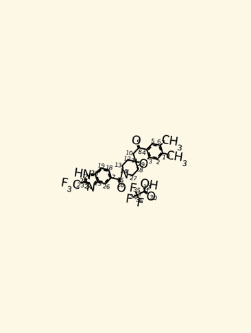 Cc1cc2c(cc1C)C(=O)CC1(CCN(C(=O)c3ccc4[nH]c(C(F)(F)F)nc4c3)CC1)O2.O=C(O)C(F)(F)F